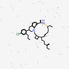 C=C(CC)CCCC1/C=C/CCC(CC)SNC(=C)c2ccc3c(c2)N(CC(c2ccc(Cl)cc2CCC)C3)CC2CCC12